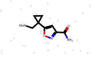 CNCC1(c2cc(C(N)=O)no2)CC1